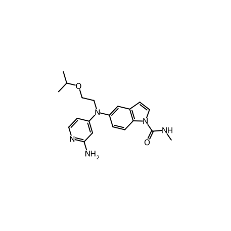 CNC(=O)n1ccc2cc(N(CCOC(C)C)c3ccnc(N)c3)ccc21